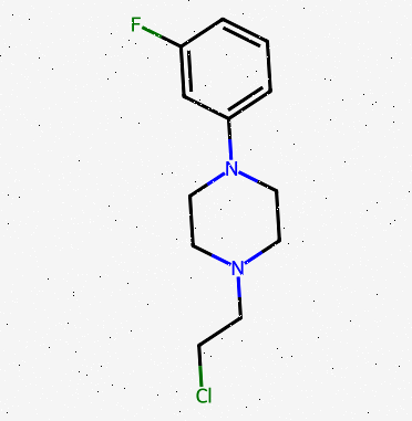 Fc1cccc(N2CCN(CCCl)CC2)c1